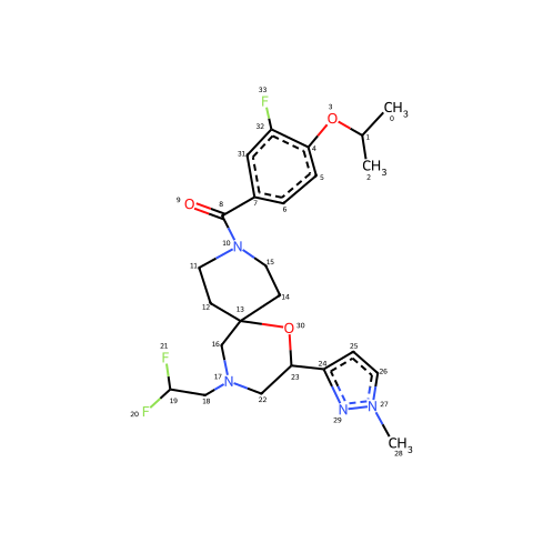 CC(C)Oc1ccc(C(=O)N2CCC3(CC2)CN(CC(F)F)CC(c2ccn(C)n2)O3)cc1F